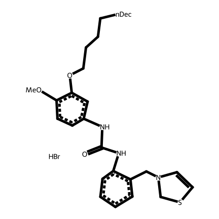 Br.CCCCCCCCCCCCCCOc1cc(NC(=O)Nc2ccccc2CN2C=CSC2)ccc1OC